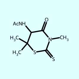 CC(=O)NC1C(=O)N(C)C(=S)SC1(C)C